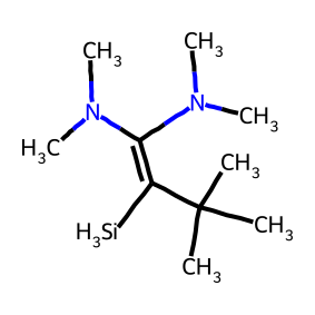 CN(C)C(=C([SiH3])C(C)(C)C)N(C)C